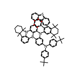 CC(C)(C)c1ccc(N(c2ccc(C(C)(C)C)cc2)c2ccc3c(c2)N(c2cc4c(cc2-c2ccccc2)C(C)(C)CCC4(C)C)c2cc(-c4cccc5sc6ccccc6c45)cc4c2B3c2cccc3c2N4C2(C)CCCCC32C)cc1